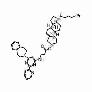 CC(C)CCCC(C)[C@H]1CC[C@H]2[C@@H]3CC=C4C[C@@H](OC(=O)CCNc5cc(N6CCc7ccccc7CC6)nc(-c6ccccn6)n5)CC[C@]4(C)[C@H]3CC[C@]12C